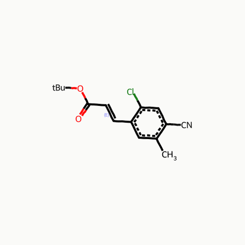 Cc1cc(/C=C/C(=O)OC(C)(C)C)c(Cl)cc1C#N